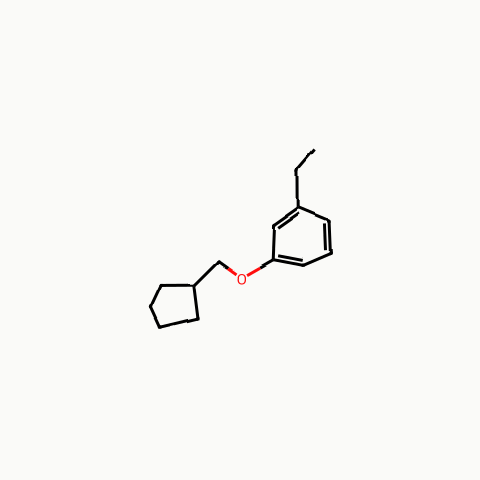 CCc1cccc(OCC2CCCC2)c1